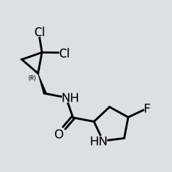 O=C(NC[C@H]1CC1(Cl)Cl)C1CC(F)CN1